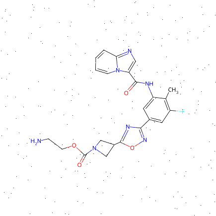 Cc1c(F)cc(-c2noc(C3CN(C(=O)OCCN)C3)n2)cc1NC(=O)c1cnc2ccccn12